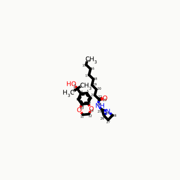 CC(C)(O)c1ccc2c(c1)OCCO2.CCCCCCCCC(=O)NC1C2CCN21